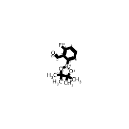 CC1(C)OB(c2cccc(F)c2C=O)OC1(C)C